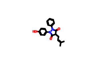 CC(C)=CCC1C(=O)N(c2ccccc2)N(c2ccc(O)cc2)C1=O